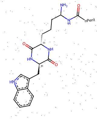 CCCCCC(=O)NC(N)CCC[C@@H]1NC(=O)[C@@H](Cc2c[nH]c3ccccc23)NC1=O